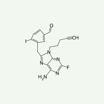 C#CCCCn1c(Cc2cc(C=O)ccc2I)nc2c(N)nc(F)nc21